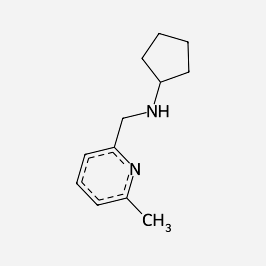 Cc1cccc(CNC2CCCC2)n1